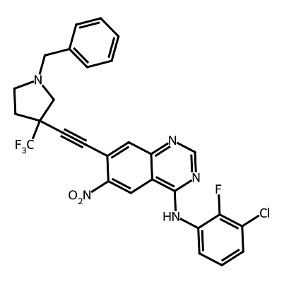 O=[N+]([O-])c1cc2c(Nc3cccc(Cl)c3F)ncnc2cc1C#CC1(C(F)(F)F)CCN(Cc2ccccc2)C1